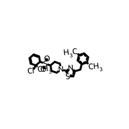 Cc1ccc(C)c(Cc2csc(N3CCC(S(=O)(=O)C4C=CC=CC4(C)Cl)CC3)n2)c1